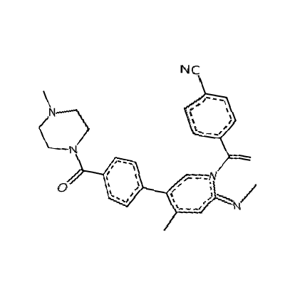 C=C(c1ccc(C#N)cc1)n1cc(-c2ccc(C(=O)N3CCN(C)CC3)cc2)c(C)c/c1=N/C